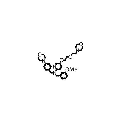 COc1cccc(CN(Cc2ccc(N3CCOCC3)cc2)c2ccc(OCCOCCN3CCOCC3)cn2)c1